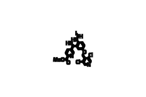 COC(=O)c1ccc(C(=N)c2cc(OCc3c(Cl)cncc3Cl)ccc2NPI)cn1